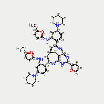 Cc1ccc(Nc2cc(N3CCCCC3)ccc2C2=CC3=CC(c4ccc(N5CCCCC5)cc4Nc4ccc(C)o4)=NC4=NC(c5ccco5)=NC(=N2)C4C3)o1